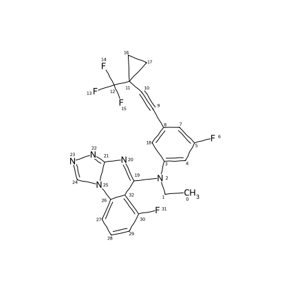 CCN(c1cc(F)cc(C#CC2(C(F)(F)F)CC2)c1)c1nc2nncn2c2cccc(F)c12